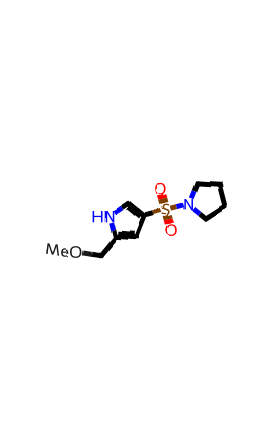 COCc1cc(S(=O)(=O)N2CCCC2)c[nH]1